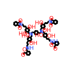 O=Cc1ccccc1C(=O)NC/C=C/c1cc(O)c(CN(Cc2ccc(CN(Cc3cc(O)c(/C=C/CNC(=O)c4ccccc4C=O)cc3O)Cc3cc(O)c(/C=C/CN4C(=O)c5ccccc5C4=O)cc3O)cc2)Cc2cc(O)c(/C=C/CN3C(=O)c4ccccc4C3=O)cc2O)cc1O